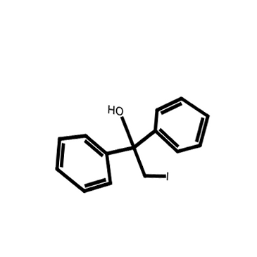 OC(CI)(c1ccccc1)c1ccccc1